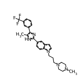 Cc1[nH]c(-c2ccc3c(ccn3CCCN3CCN(C)CC3)c2)nc1-c1cccc(C(F)(F)F)c1